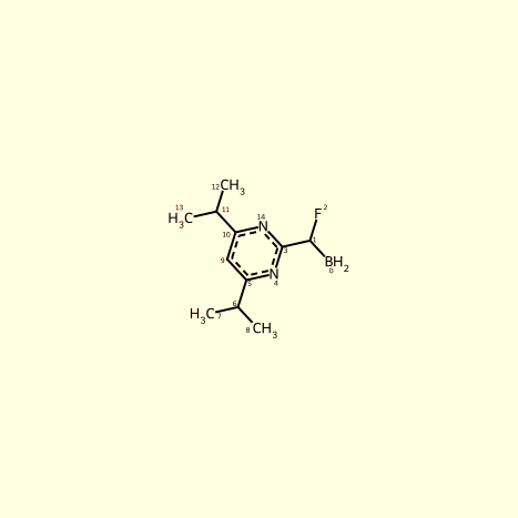 BC(F)c1nc(C(C)C)cc(C(C)C)n1